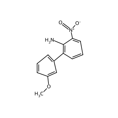 COc1cccc(-c2cccc([N+](=O)[O-])c2N)c1